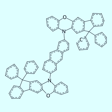 c1ccc(C2(c3ccccc3)c3ccccc3-c3cc4c(cc32)N(c2ccc3cc5cc(N6c7ccccc7Oc7cc8c(cc76)C(c6ccccc6)(c6ccccc6)c6ccccc6-8)ccc5cc3c2)c2ccccc2O4)cc1